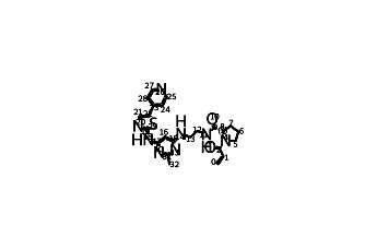 C=CC(=O)N1CCC[C@H]1C(=O)NCCNc1cc(Nc2ncc(-c3ccncc3)s2)nc(C)n1